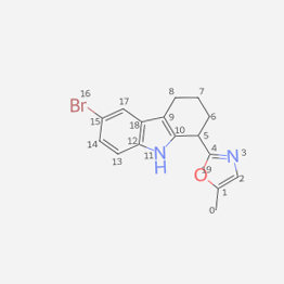 Cc1cnc(C2CCCc3c2[nH]c2ccc(Br)cc32)o1